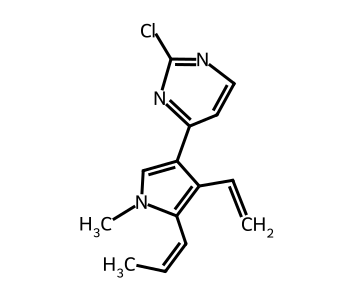 C=Cc1c(-c2ccnc(Cl)n2)cn(C)c1/C=C\C